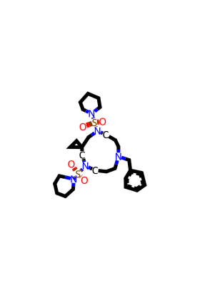 O=S(=O)(N1CCCCC1)N1CCCN(Cc2ccccc2)CCCN(S(=O)(=O)N2CCCCC2)CC2(CC2)C1